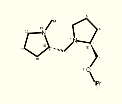 CC(C)OC[C@@H]1CCCN1C[C@@H]1CCCN1C